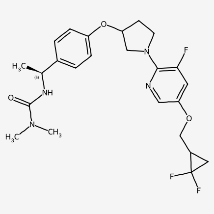 C[C@H](NC(=O)N(C)C)c1ccc(OC2CCN(c3ncc(OCC4CC4(F)F)cc3F)C2)cc1